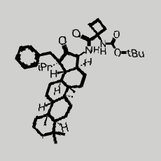 CC(C)[C@]1(Cc2ccccc2)C(=O)[C@@H](NC(=O)C2(NC(=O)OC(C)(C)C)CCC2)[C@H]2CC[C@@]3(C)[C@@H](CC[C@H]4[C@@]5(C)CC[CH]C(C)(C)[C@@H]5CC[C@@]43C)[C@@H]21